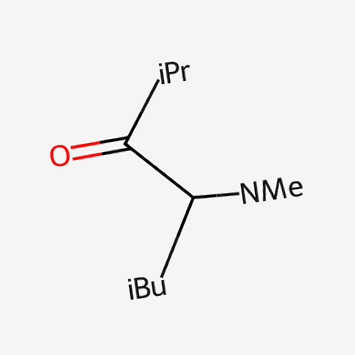 CCC(C)C(NC)C(=O)C(C)C